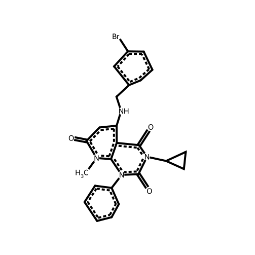 Cn1c(=O)cc(NCc2cccc(Br)c2)c2c(=O)n(C3CC3)c(=O)n(-c3ccccc3)c21